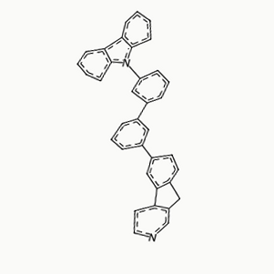 c1cc(-c2cccc(-n3c4ccccc4c4ccccc43)c2)cc(-c2ccc3c(c2)-c2ccncc2C3)c1